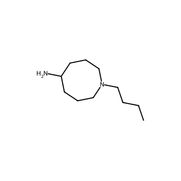 CCCCN1CCCC(N)CCC1